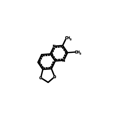 Cc1nc2ccc3c(c2nc1C)OCO3